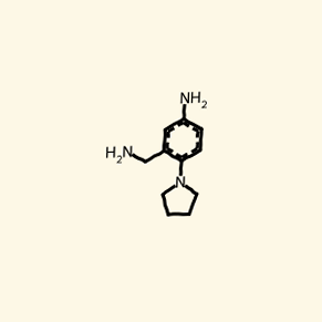 NCc1cc(N)ccc1N1CCCC1